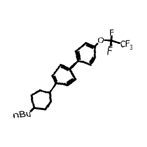 CCCCC1CCC(c2ccc(-c3ccc(OC(F)(F)C(F)(F)F)cc3)cc2)CC1